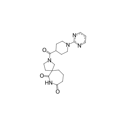 O=C1CCCC2(CCN(C(=O)C3CCN(c4ncccn4)CC3)C2)C(=O)N1